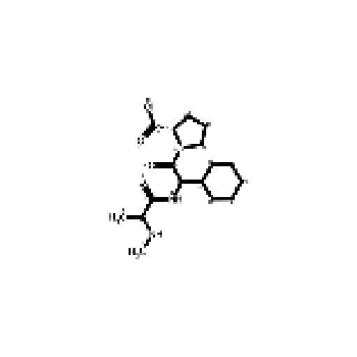 CNC(C)C(=O)NC(C(=O)N1CCC[C@H]1C(=O)O)C1CCCCC1